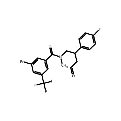 CN(CC(CC=O)c1ccc(F)cc1)C(=O)c1cc(Br)cc(C(F)(F)F)c1